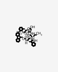 CCCC[C@H](NC(=O)[C@H](Cc1c[nH]c2ccccc12)NC(=O)OCC1c2ccccc2-c2ccccc21)C(=O)N[C@@H](CC(=O)O)C(=O)N[C@@H](Cc1cccc(Br)c1)C(N)=O